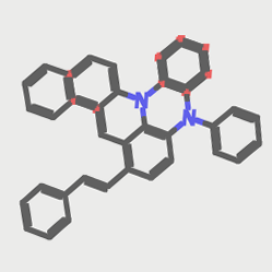 C(=Cc1ccc(N(c2ccccc2)c2ccccc2)c(N(c2ccccc2)c2ccccc2)c1C=Cc1ccccc1)c1ccccc1